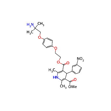 COC(=O)C1=C(C)NC(C)=C(C(=O)OCCOc2ccc(OCC(C)(C)N)cc2)C1c1cccc([N+](=O)[O-])c1